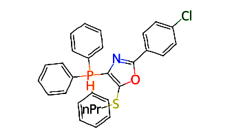 CCCSc1oc(-c2ccc(Cl)cc2)nc1[PH](c1ccccc1)(c1ccccc1)c1ccccc1